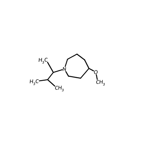 COC1CCCN(C(C)C(C)C)CC1